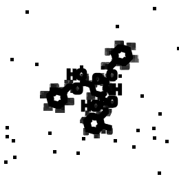 Cc1ccccc1CP(=O)(O)C(CCC(O)OCc1ccccc1)NC(=O)OCc1ccccc1